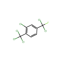 FC(Cl)(Cl)c1ccc(C(Cl)(Cl)Cl)c(Cl)c1